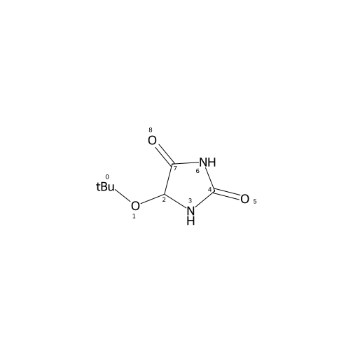 CC(C)(C)OC1NC(=O)NC1=O